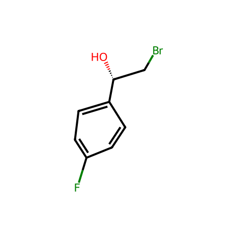 O[C@H](CBr)c1ccc(F)cc1